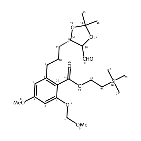 COCOc1cc(OC)cc(CCC[C@@H]2OC(C)(C)OC2C=O)c1C(=O)OCC[Si](C)(C)C